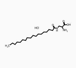 CCCCCCCCCCCCCCCCCC(=O)NCC(N)C(=O)O.Cl